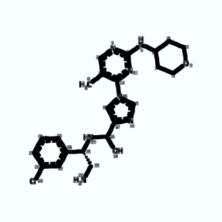 Cc1cnc(NC2CCOCC2)nc1-n1cnc(C(O)N[C@H](CN)c2cccc(Cl)c2)c1